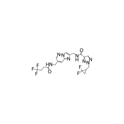 O=C(CCC(F)(F)F)NCc1cnn2cc(CNC(=O)c3cnn(CC4CC4(F)F)n3)nc2c1